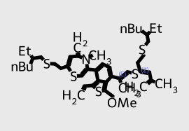 C=Cc1sc(COC)c2c(/C(C)=C/S/C(=C\C(=C)C)CCSCC(CC)CCCC)ccc(C3=CSC(CCSCC(CC)CCCC)=CC(=C)N3C)c12